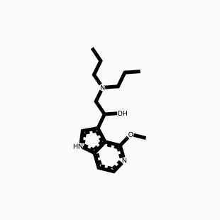 CCCN(CCC)CC(O)c1c[nH]c2ccnc(OC)c12